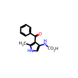 Cc1[nH]cc(NC(=O)O)c1C(=O)c1ccccc1